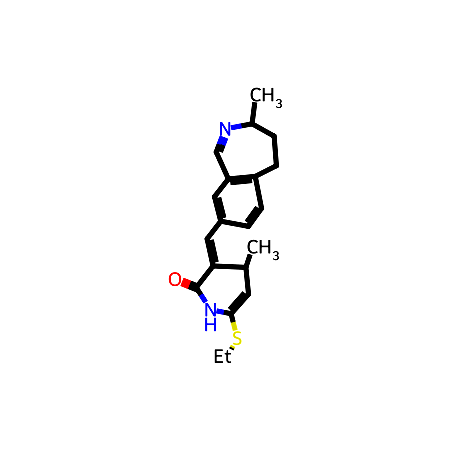 CCSC1=CC(C)/C(=C\c2ccc3c(c2)C=NC(C)CC3)C(=O)N1